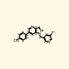 Fc1cncc(Cn2ncc3ncc(-c4ccc(Cl)cc4)cc32)c1